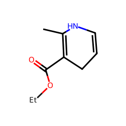 CCOC(=O)C1=C(C)NC=CC1